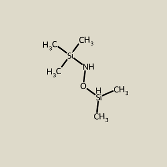 C[SiH](C)ON[Si](C)(C)C